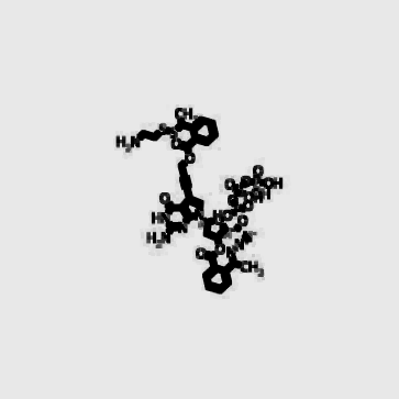 CC(N=[N+]=[N-])c1ccccc1C(=O)OC1C[C@H](n2cc(C#CCOC(=O)c3ccccc3C(C)SSCCN)c3c(=O)[nH]c(N)nc32)O[C@@H]1COP(=O)(O)OP(=O)(O)OP(=O)(O)O